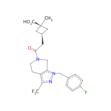 C[C@]1(C(=O)O)C[C@@H](CC(=O)N2CCc3c(C(F)(F)F)nn(Cc4ccc(F)cc4)c3C2)C1